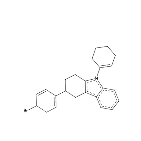 BrC1C=CC(C2CCc3c(c4ccccc4n3C3=CCCCC3)C2)=CC1